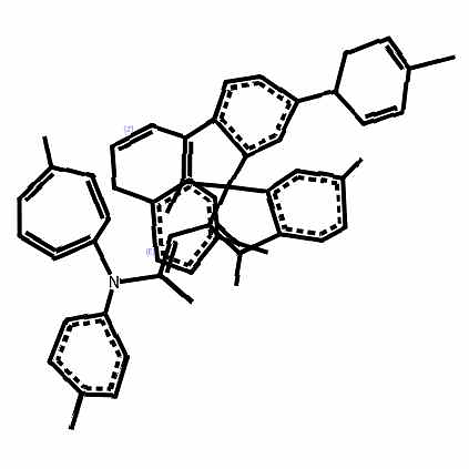 CC1=CC=C=C(N(/C(C)=C/C2=C(C)c3ccc(C)cc3C23C(C)=C(/C=C\Cc2ccc(C)cc2)c2ccc(C4C=CC(C)=CC4)cc23)c2ccc(C)cc2)C=C1